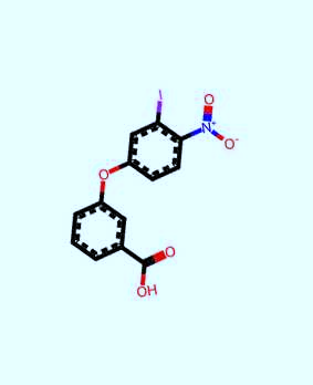 O=C(O)c1cccc(Oc2ccc([N+](=O)[O-])c(I)c2)c1